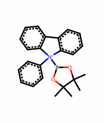 CC1(C)OB([N+]2(c3ccccc3)c3ccccc3-c3ccccc32)OC1(C)C